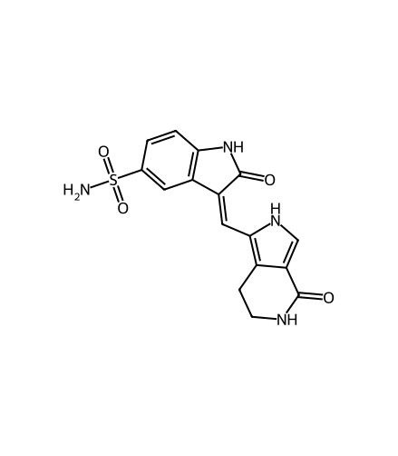 NS(=O)(=O)c1ccc2c(c1)C(=Cc1[nH]cc3c1CCNC3=O)C(=O)N2